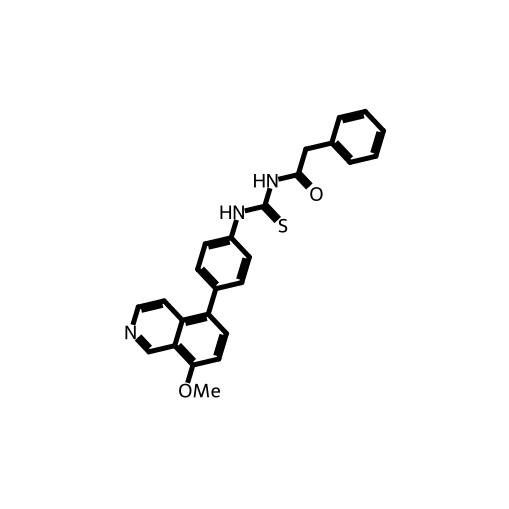 COc1ccc(-c2ccc(NC(=S)NC(=O)Cc3ccccc3)cc2)c2ccncc12